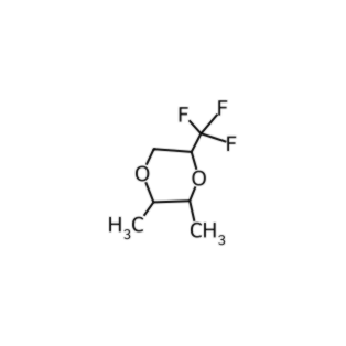 CC1OCC(C(F)(F)F)OC1C